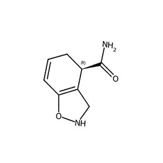 NC(=O)[C@@H]1CC=CC2=C1CNO2